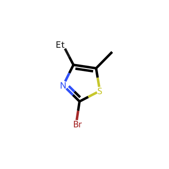 CCc1nc(Br)sc1C